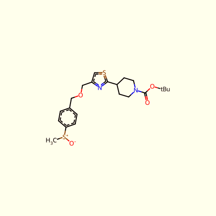 C[S+]([O-])c1ccc(COCc2csc(C3CCN(C(=O)OC(C)(C)C)CC3)n2)cc1